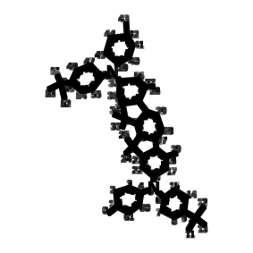 Cc1ccc(N(c2ccc(C(C)(C)C)cc2)c2cc(C)c3c(c2)C(C)(C)c2c-3ccc3c2C(C)(C)c2cc(N(c4ccc(C)cc4)c4ccc(C(C)(C)C)cc4)cc(C)c2-3)cc1